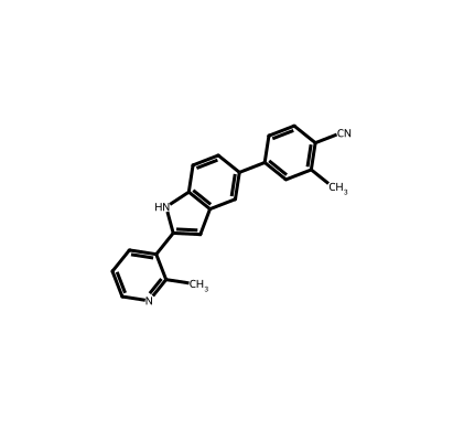 Cc1cc(-c2ccc3[nH]c(-c4cccnc4C)cc3c2)ccc1C#N